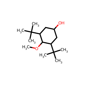 COC1C(C(C)(C)C)CC(O)CC1C(C)(C)C